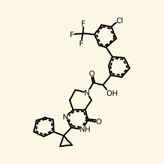 O=C(C(O)c1cccc(-c2cc(Cl)cc(C(F)(F)F)c2)c1)N1CCc2nc(C3(c4ccccc4)CC3)[nH]c(=O)c2C1